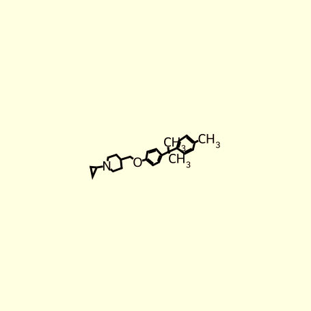 Cc1ccc(C(C)(C)c2ccc(OCC3CCN(C4CC4)CC3)cc2)cc1